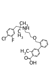 Cc1cc(-c2ccccc2COCCCNC(C)(C)Cc2ccc(Cl)c(F)c2)ccc1C(=O)O